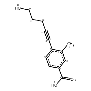 Cc1cc(C(=O)O)ccc1C#CCCCO